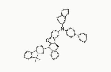 CC1(C)c2ccccc2-c2ccc(-c3c4ccccc4cc4c3oc3ccc(N(c5ccc(-c6ccccc6)cc5)c5ccc6ccccc6c5)cc34)cc21